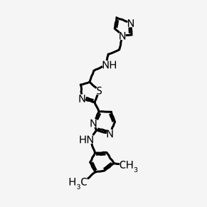 Cc1cc(C)cc(Nc2nccc(C3=NCC(CNCCn4ccnc4)S3)n2)c1